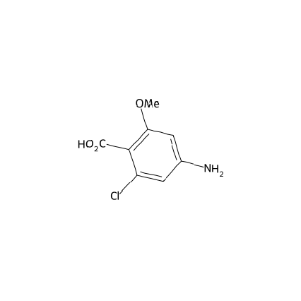 COc1cc(N)cc(Cl)c1C(=O)O